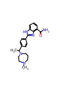 CC(c1ccc(-c2nc3c(C(N)=O)cccc3[nH]2)cc1)N1CCCN(C)CC1